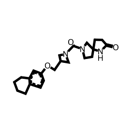 O=C1CCC2(CCN(C(=O)N3CC(COc4ccc5c(c4)CCCC5)C3)C2)N1